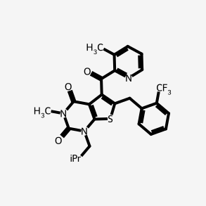 Cc1cccnc1C(=O)c1c(Cc2ccccc2C(F)(F)F)sc2c1c(=O)n(C)c(=O)n2CC(C)C